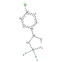 FC1(F)CCC(c2ccc(Br)cc2)C1